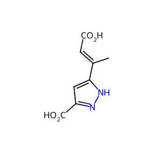 CC(=CC(=O)O)c1cc(C(=O)O)n[nH]1